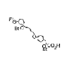 CCOC1=CC=CC(C#C/C=C/COc2ccc(C[C@H](OCC)C(=O)O)cc2)(OCC)C1